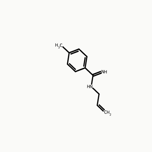 C=CCNC(=N)c1ccc(C)cc1